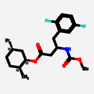 CC(C)[C@H]1CC[C@H](C)[C@H](OC(=O)CC(Cc2cc(F)ccc2F)NC(=O)OC(C)(C)C)C1